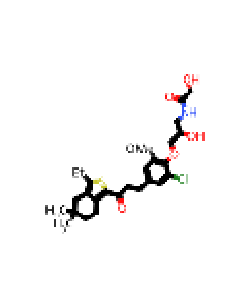 CCc1sc(C(=O)CCc2cc(Cl)c(OCC(O)CNC(=O)CO)c(OC)c2)c2c1CC(C)(C)CC2